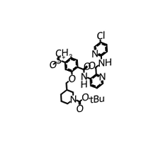 C[S+]([O-])c1ccc(C(=O)Nc2cccnc2C(=O)Nc2ccc(Cl)cn2)c(OCC2CCCN(C(=O)OC(C)(C)C)C2)c1